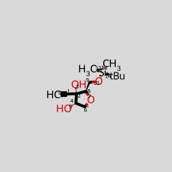 C#C[C@]1(O)[C@@H](O)[CH]O[C@@H]1CO[Si](C)(C)C(C)(C)C